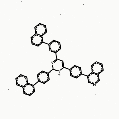 C1=C(c2ccc(-c3cncc4ccccc34)cc2)NC(c2ccc(-c3cccc4ccccc34)cc2)N=C1c1cccc(-c2cccc3ccccc23)c1